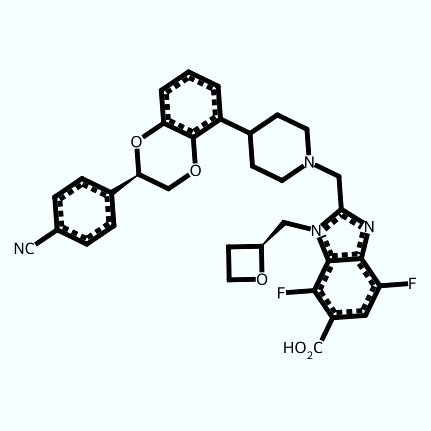 N#Cc1ccc([C@@H]2COc3c(cccc3C3CCN(Cc4nc5c(F)cc(C(=O)O)c(F)c5n4C[C@@H]4CCO4)CC3)O2)cc1